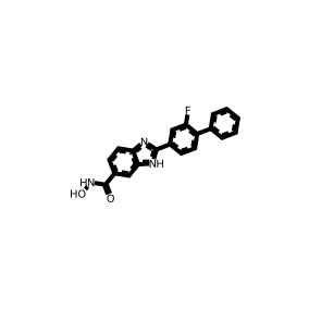 O=C(NO)c1ccc2nc(-c3ccc(-c4ccccc4)c(F)c3)[nH]c2c1